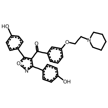 O=C(c1cccc(OCCN2CCCCC2)c1)c1c(-c2ccc(O)cc2)noc1-c1ccc(O)cc1